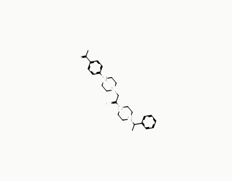 CC(=O)c1ccc(N2CCN(CC(=O)N3CCN(C(C)c4ccccc4)CC3)CC2)cc1